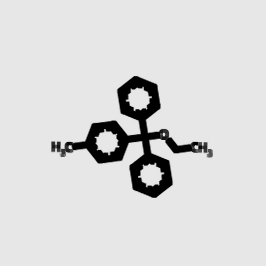 CCOC(c1ccccc1)(c1ccccc1)c1ccc(C)cc1